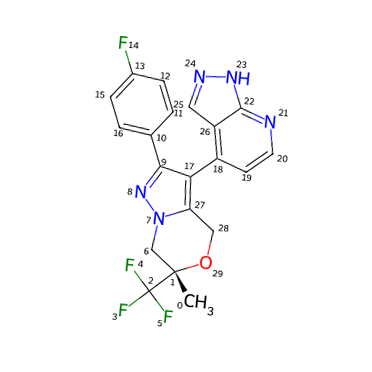 C[C@@]1(C(F)(F)F)Cn2nc(-c3ccc(F)cc3)c(-c3ccnc4[nH]ncc34)c2CO1